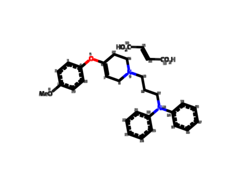 COc1ccc(OC2=CCN(CCCN(c3ccccc3)c3ccccc3)CC2)cc1.O=C(O)/C=C/C(=O)O